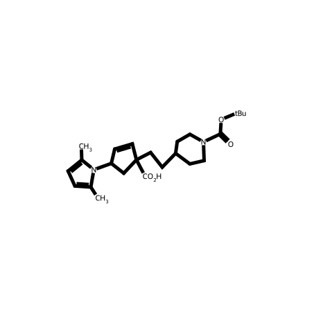 Cc1ccc(C)n1C1C=CC(CCC2CCN(C(=O)OC(C)(C)C)CC2)(C(=O)O)C1